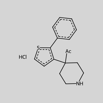 CC(=O)C1(c2ccsc2-c2ccccc2)CCNCC1.Cl